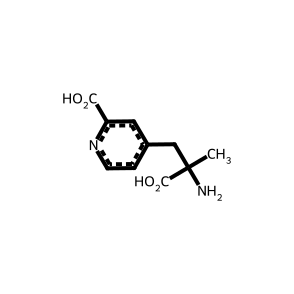 CC(N)(Cc1ccnc(C(=O)O)c1)C(=O)O